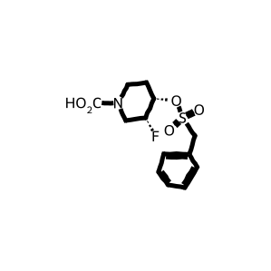 O=C(O)N1CC[C@H](OS(=O)(=O)Cc2ccccc2)[C@H](F)C1